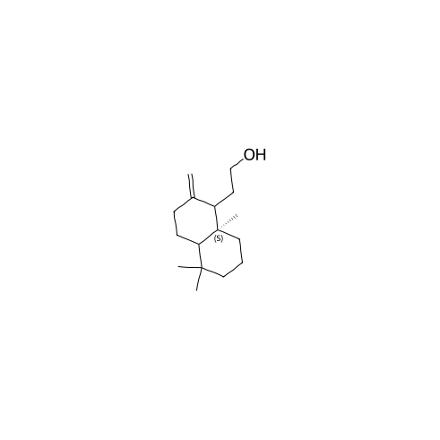 C=C1CCC2C(C)(C)CCC[C@]2(C)C1CCO